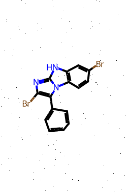 Brc1ccc2c(c1)[nH]c1nc(Br)c(-c3ccccc3)n12